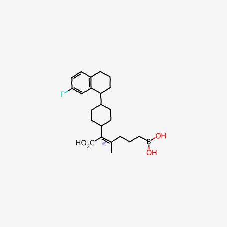 C/C(CCCB(O)O)=C(\C(=O)O)C1CCC(C2CCCc3ccc(F)cc32)CC1